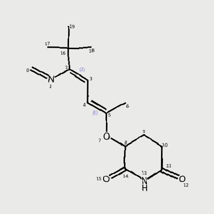 C=N/C(=C\C=C(/C)OC1CCC(=O)NC1=O)C(C)(C)C